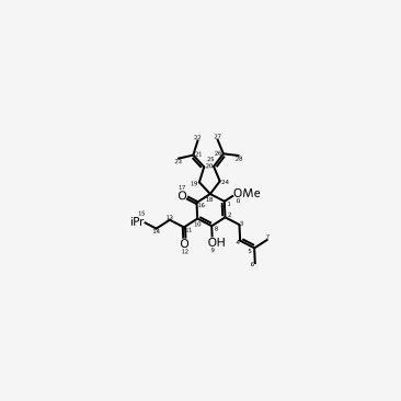 COC1=C(CC=C(C)C)C(O)=C(C(=O)CCC(C)C)C(=O)C1(CC=C(C)C)CC=C(C)C